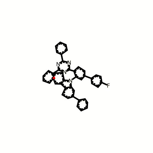 Fc1ccc(-c2ccc(-c3nc(-c4ccccc4)nc(-c4ccccc4)n3)c(-n3c4ccccc4c4ccc(-c5ccccc5)cc43)c2)cc1